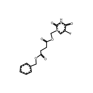 O=C(CCC(=O)OCn1cc(F)c(=O)[nH]c1=O)OCc1ccccc1